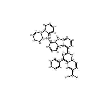 CC(C)C(C)c1ccc2nc(-c3cccc4oc5c(N6c7ccccc7C7C=CCCC76)cccc5c34)nc(-c3ccccc3)c2c1